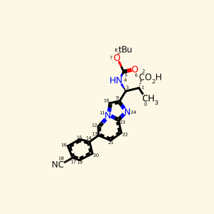 C[C@@H](C(=O)O)[C@H](NC(=O)OC(C)(C)C)c1cn2cc(-c3ccc(C#N)cc3)ccc2n1